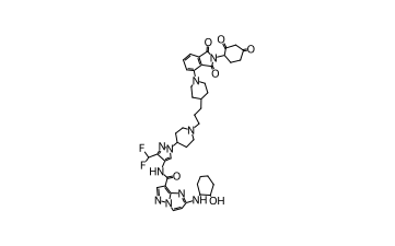 O=C1CCC(N2C(=O)c3cccc(N4CCC(CCCN5CCC(n6cc(NC(=O)c7cnn8ccc(N[C@@H]9CCCC[C@@H]9O)nc78)c(C(F)F)n6)CC5)CC4)c3C2=O)C(=O)C1